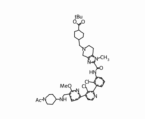 COc1nc(-c2ccnc(-c3cccc(NC(=O)c4nc5c(n4C)CCN(CC4CCC(C(=O)OC(C)(C)C)CC4)C5)c3Cl)c2Cl)ccc1CNC1CCN(C(C)=O)CC1